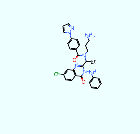 CCC(c1nc2cc(Cl)ccc2c(=O)n1Nc1ccccc1)N(CCCN)C(=O)c1ccc(-n2cccn2)cc1